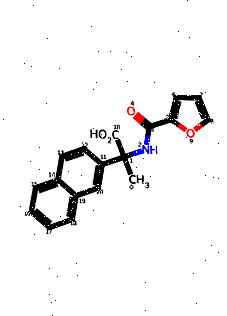 CC(NC(=O)c1ccco1)(C(=O)O)c1ccc2ccccc2c1